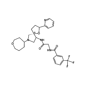 O=C(CNC(=O)c1cccc(C(F)(F)F)c1)NC1CN(C2CCCOCC2)C[C@@]12CCC(c1ccccn1)O2